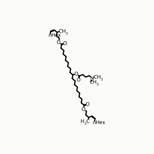 CCCCCC/C=C\C(C)CCOC(=O)CCCCCCCCCC(CCCCCCCCCC(=O)OCCC(C)/C=C\CCCCCC)OC(=O)CCCN(C)C